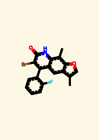 Cc1coc2c(C)c3[nH]c(=O)c(Br)c(-c4ccccc4F)c3cc12